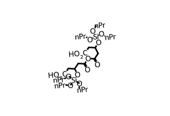 CCCO[Si](OCCC)(OCCC)OC(CC(=O)O)CC(=O)OC(=O)CC(CC(=O)O)O[Si](OCCC)(OCCC)OCCC